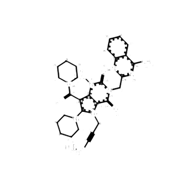 CC#CCn1c(N2CCC[C@@H](N)C2)c(C(=O)N2CCCCC2)c2c1c(=O)n(Cc1nc(C)c3ccccc3n1)c(=O)n2C